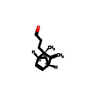 C=C1[C@@H]2C=C[C@@H](C2)[C@@]1(C)CCC=O